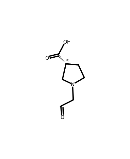 O=[C]CN1CC[C@@H](C(=O)O)C1